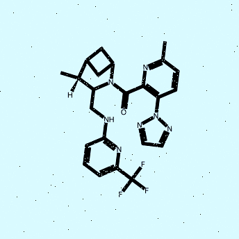 Cc1ccc(-n2nccn2)c(C(=O)N2C3CC(C3)[C@@H](C)C2CNc2cccc(C(F)(F)F)n2)n1